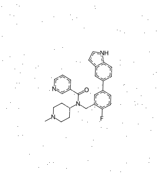 CN1CCC(N(Cc2cc(-c3ccc4[nH]ccc4c3)ccc2F)C(=O)c2cccnc2)CC1